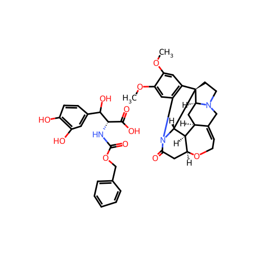 COc1cc2c(cc1OC)[C@@]13CCN4CC5=CCO[C@H]6CC(=O)N2[C@H]1[C@H]6[C@H]5C[C@H]43.O=C(N[C@@H](C(=O)O)C(O)c1ccc(O)c(O)c1)OCc1ccccc1